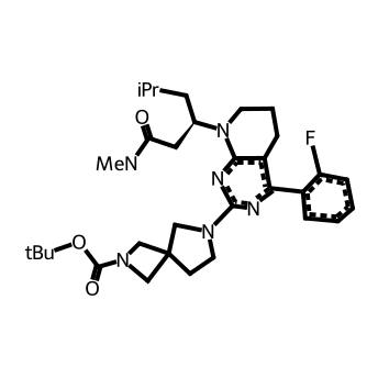 CNC(=O)C[C@@H](CC(C)C)N1CCCc2c(-c3ccccc3F)nc(N3CCC4(CN(C(=O)OC(C)(C)C)C4)C3)nc21